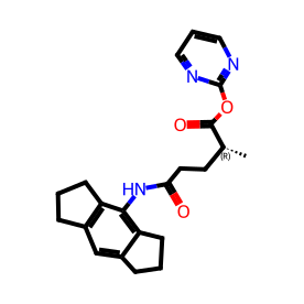 C[C@H](CCC(=O)Nc1c2c(cc3c1CCC3)CCC2)C(=O)Oc1ncccn1